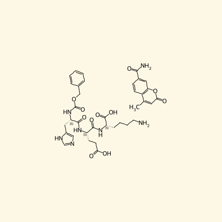 Cc1cc(=O)oc2cc(C(N)=O)ccc12.NCCCC[C@H](NC(=O)[C@H](CCC(=O)O)NC(=O)[C@H](Cc1cnc[nH]1)NC(=O)OCc1ccccc1)C(=O)O